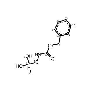 C[PH](O)(O)ONC(=O)OCc1ccccc1